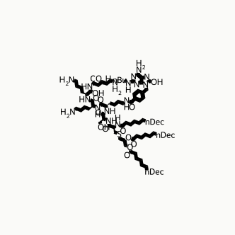 CCCCCCCCCCCCCCCC(=O)N[C@@H](CSCC(COC(=O)CCCCCCCCCCCCCCC)OC(=O)CCCCCCCCCCCCCCC)C(=O)N[C@@H](CO)C(=O)N[C@@H](CCCCNC(=O)c1ccc(Cn2c(O)nc3c(N)nc(NCCCC)nc32)cc1)C(=O)N[C@@H](CCCCN)C(=O)N[C@@H](CCCCN)C(O)N[C@@H](CCCCN)C(=O)O